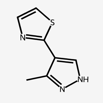 Cc1n[nH]cc1-c1nccs1